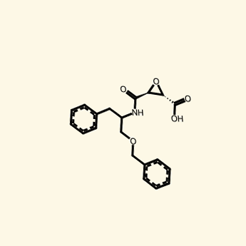 O=C(O)[C@H]1O[C@@H]1C(=O)NC(COCc1ccccc1)Cc1ccccc1